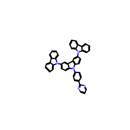 c1cnc(-c2ccc(-n3c4ccc(-n5c6ccccc6c6ccccc65)cc4c4cc(-n5c6ccccc6c6ccccc65)ccc43)cc2)nc1